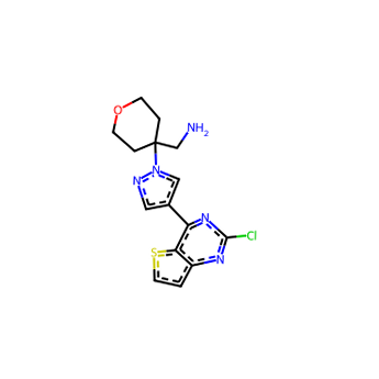 NCC1(n2cc(-c3nc(Cl)nc4ccsc34)cn2)CCOCC1